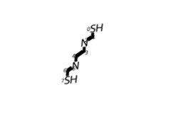 S/C=N/C=C/N=C/S